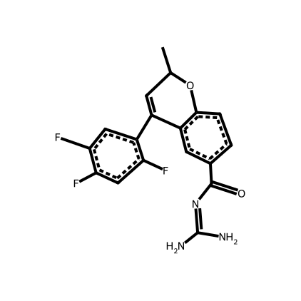 CC1C=C(c2cc(F)c(F)cc2F)c2cc(C(=O)N=C(N)N)ccc2O1